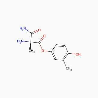 Cc1cc(OC(=O)[C@](C)(N)C(N)=O)ccc1O